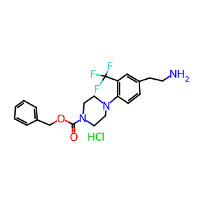 Cl.NCCc1ccc(N2CCN(C(=O)OCc3ccccc3)CC2)c(C(F)(F)F)c1